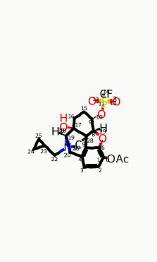 CC(=O)Oc1ccc2c3c1O[C@H]1[C@@H](OS(=O)(=O)C(F)(F)F)CC[C@@]4(O)[C@@H](C2)N(CC2CC2)CC[C@]314